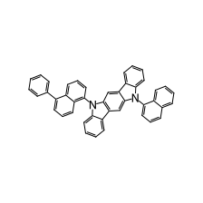 c1ccc(-c2cccc3c(-n4c5ccccc5c5cc6c(cc54)c4ccccc4n6-c4cccc5ccccc45)cccc23)cc1